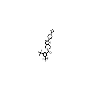 O=C(c1cc(C(F)(F)F)cc(C(F)(F)F)c1)N1CCc2cnc(N3CCN(C4CCC4)CC3)nc2CC1